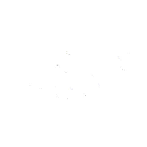 Cc1c(CC(=N)CC(C)n2cnc(-c3ccc(F)cc3)c2-c2ccncn2)cnn1C